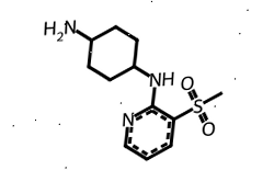 CS(=O)(=O)c1cccnc1NC1CCC(N)CC1